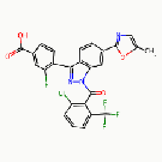 Cc1cnc(-c2ccc3c(-c4ccc(C(=O)O)cc4F)nn(C(=O)c4c(Cl)cccc4C(F)(F)F)c3c2)o1